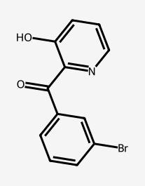 O=C(c1cccc(Br)c1)c1ncccc1O